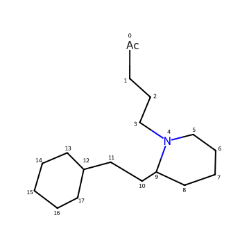 CC(=O)CCCN1CCCCC1CCC1CCCCC1